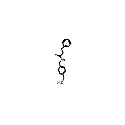 COc1ccc(CNC(=O)CSc2cc[c]cc2)cc1